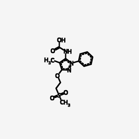 Cc1c(OCCS(C)(=O)=O)nn(-c2ccccc2)c1NC(=O)O